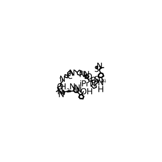 Cc1ncsc1-c1ccc([C@H](C)NC(=O)C2CCCN2C(=O)C(c2cc(N3CCC(CN4CCC5(CC4)CC(N(C)CCOCC(C)n4cc(C#Cc6cc(-c7ccccc7O)nnc6N)cn4)C5)CC3)no2)C(C)C)cc1